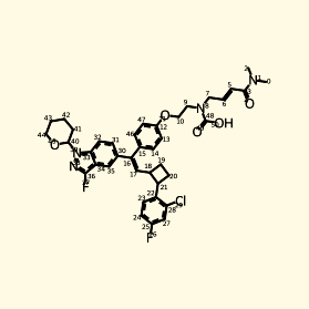 CN(C)C(=O)C=CCN(CCOc1ccc(C(=CC2CCC2c2ccc(F)cc2Cl)c2ccc3c(c2)c(F)nn3C2CCCCO2)cc1)C(=O)O